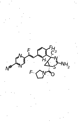 C[C@]1(c2cc(/C=C(\F)c3cnc(C#N)cn3)ccc2F)N=C(N)S[C@@]2(C(=O)N3CC[C@H](F)C3)C[C@H]21